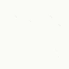 CC(=O)N1CCN(c2ccc3c(C4CCN(C(=O)O)CC4)ncnc3c2)CC1